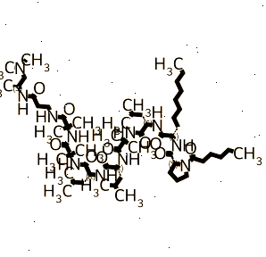 CCCCCCCC[C@H](NC(=O)[C@@H]1CCCN1C(=O)CCCCC)C(=O)N[C@@H](CC(C)C)C(=O)NC(C)(C)C(=O)N[C@H](CC(C)C)C(=O)N[C@H](CC(C)C)C(=O)NC(C)(C)C(=O)NC(C)(C)C(=O)NCCC(=O)N[C@@H](C)CN(C)C